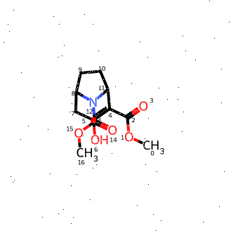 COC(=O)C1=C(O)CC2CCC1N2C(=O)OC